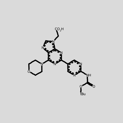 CC(C)(C)OC(=O)Nc1ncc(-c2nc(N3CCOCC3)c3ncn(CC(=O)O)c3n2)cn1